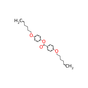 C=CCCCCOc1ccc(OC(=O)c2ccc(OCCCCC=C)cc2)cc1